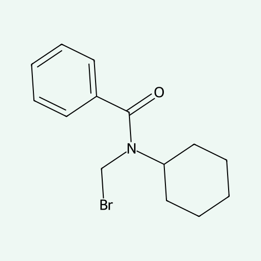 O=C(c1ccccc1)N(CBr)C1CCCCC1